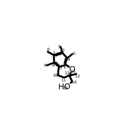 Cc1c(C)c(C)c2c(c1C)CCC(C)(CO)O2